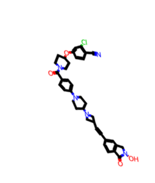 N#Cc1ccc(OC2CCN(C(=O)c3ccc(N4CCC(N5CC(C#Cc6ccc7c(c6)CN(O)C7=O)C5)CC4)cc3)CC2)cc1Cl